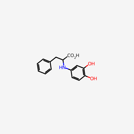 O=C(O)C(Cc1ccccc1)Nc1ccc(O)c(O)c1